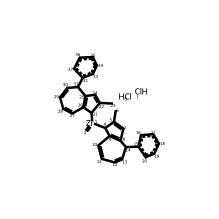 Cl.Cl.[CH2]=[Zr]([CH]1C(C)=CC2=C1C=CC=CC2c1ccccc1)[CH]1C(C)=CC2=C1C=CC=CC2c1ccccc1